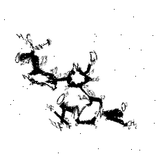 C=CC(=O)N1CCN(C(=O)C(F)(F)F)[C@@H](c2cc(Cl)nc(-c3cc(C(=O)NC)ncn3)c2)C1